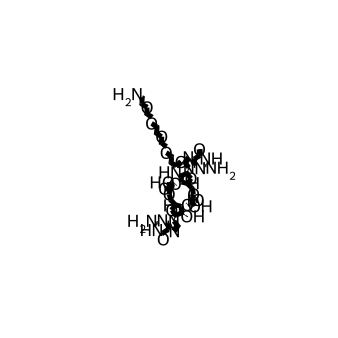 NCCOCCOCCOCCOCCC(=O)N[C@H]1C2OP(=O)(O)OC[C@H]3O[C@@H](n4cnc5c(=O)[nH]c(N)nc54)[C@@H](O)C3OP(=O)(O)OC[C@H]2O[C@H]1n1cnc2c(=O)[nH]c(N)nc21